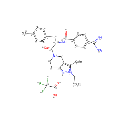 CCOC(=O)Cn1nc2c(c1OC)CN(C(=O)[C@H](Cc1ccc([N+](=O)[O-])cc1)NC(=O)c1ccc(C(=N)N)cc1)CC2.O=C(O)C(F)(F)F